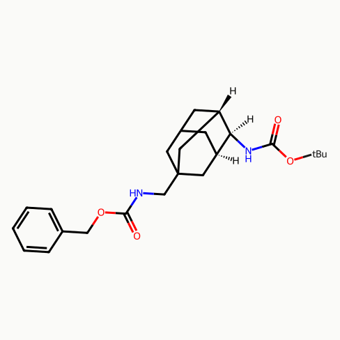 CC(C)(C)OC(=O)N[C@H]1[C@@H]2CC3C[C@H]1CC(CNC(=O)OCc1ccccc1)(C3)C2